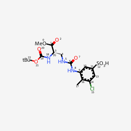 COC(=O)[C@H](CNC(=O)Nc1cc(S(=O)(=O)O)cc(Cl)c1C)NC(=O)OC(C)(C)C